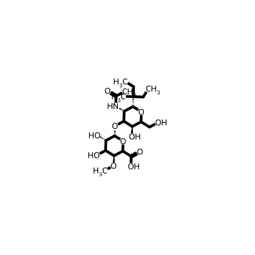 CCC(C)(CC)[C@@H]1OC(CO)[C@@H](O)C(O[C@@H]2OC(C(=O)O)[C@@H](OC)C(O)[C@@H]2O)[C@@H]1NC(C)=O